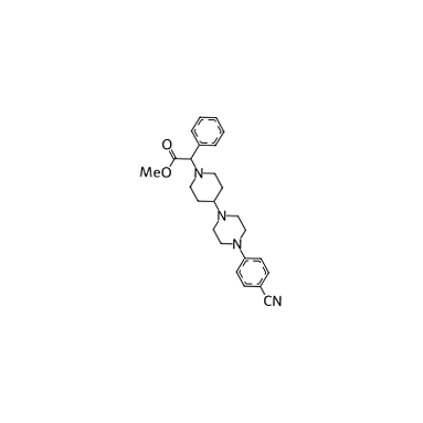 COC(=O)C(c1ccccc1)N1CCC(N2CCN(c3ccc(C#N)cc3)CC2)CC1